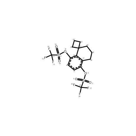 O=S(=O)(Oc1ccc(OS(=O)(=O)C(F)(F)F)c2c1CCCC21CCC1)C(F)(F)F